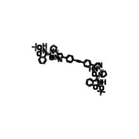 CC(C)(C)OC(=O)N[C@@H](C(=O)N1CCC[C@H]1c1cc(-c2ccc(C#Cc3ccc(-c4cnc([C@@H]5CCCN5C(=O)[C@H](NC(=O)OC(C)(C)C)c5ccccc5)[nH]4)cc3)cc2)n[nH]1)c1ccccc1